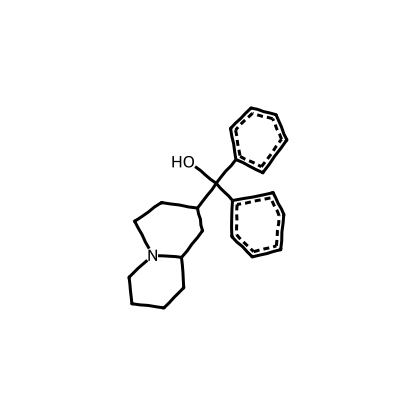 OC(c1ccccc1)(c1ccccc1)C1CCN2CCCCC2C1